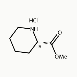 COC(=O)[C@@H]1CCCCN1.Cl